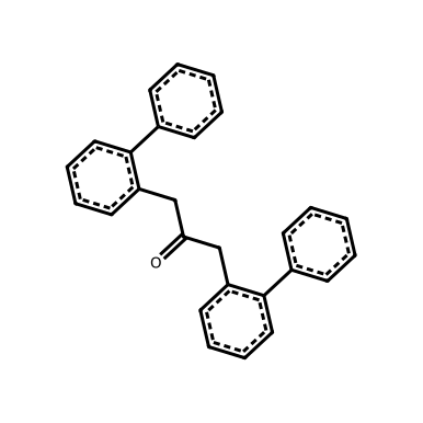 O=C(Cc1ccccc1-c1ccccc1)Cc1ccccc1-c1ccccc1